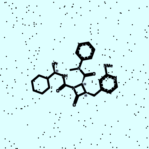 CCC[C@@H](NC(=O)N1C(=O)[C@H](Cc2ccnc(NC)c2)[C@H]1C(=O)N(C)c1ccccc1)C1CCCCC1